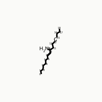 CCCCCCCC=CC(N)CCCCCCCC